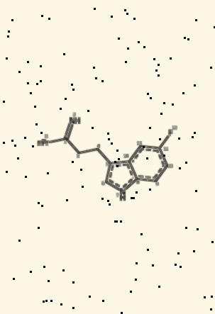 CCCC(=N)CCc1c[nH]c2ccc(F)cc12